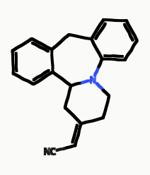 N#CC=C1CCN2c3ccccc3Cc3ccccc3C2C1